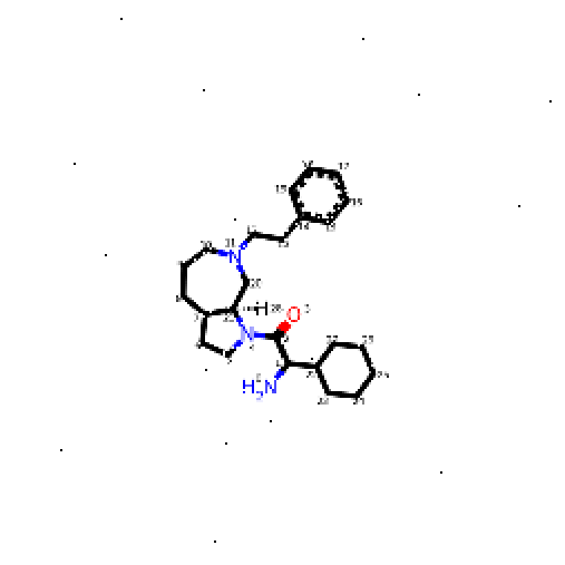 NC(C(=O)N1CCC2CCCN(CCc3ccccc3)C[C@H]21)C1CCCCC1